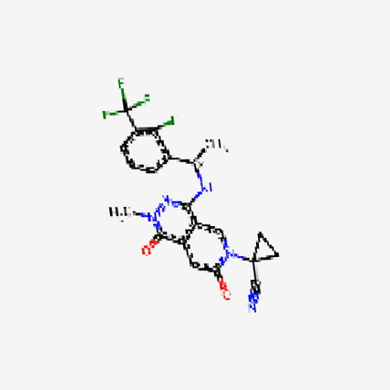 C[C@@H](Nc1nn(C)c(=O)c2cc(=O)n(C3(C#N)CC3)cc12)c1cccc(C(F)(F)F)c1F